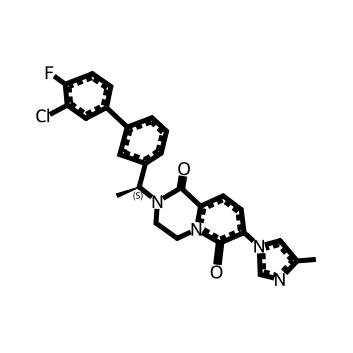 Cc1cn(-c2ccc3n(c2=O)CCN([C@@H](C)c2cccc(-c4ccc(F)c(Cl)c4)c2)C3=O)cn1